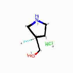 Cl.OC[C@]1(F)CCNC1